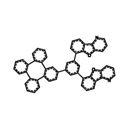 c1ccc2c(c1)-c1ccccc1-c1ccc(-c3cc(-c4cccc5c4oc4cccnc45)cc(-c4cccc5c4oc4cccnc45)c3)cc1-c1ccccc1-2